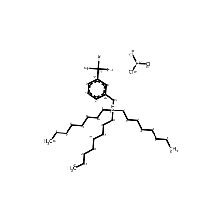 CCCCCCCC[PH](CCCCCCCC)(CCCCCCCC)Cc1cccc(C(F)(F)F)c1.ClP(Cl)Cl